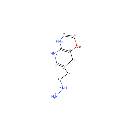 NNCCC1=CNC2=C(C1)OC=CN2